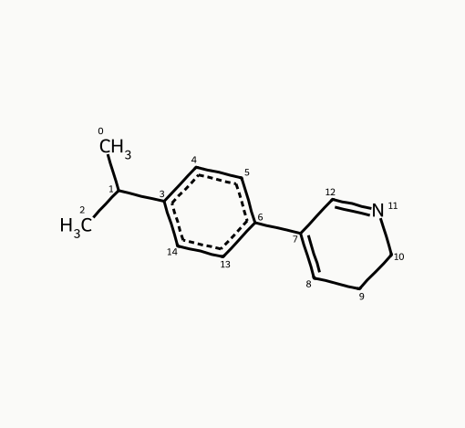 CC(C)c1ccc(C2=CCCN=C2)cc1